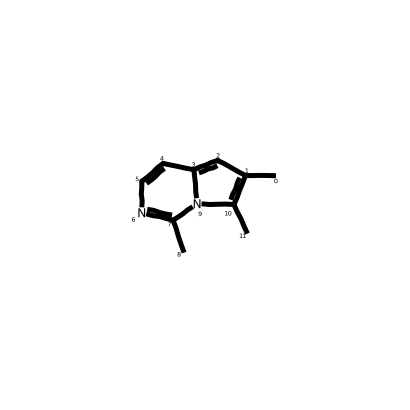 Cc1cc2ccnc(C)n2c1C